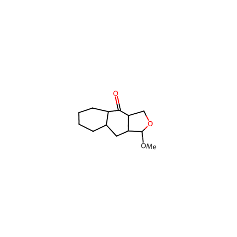 COC1OCC2C(=O)C3CCCCC3CC12